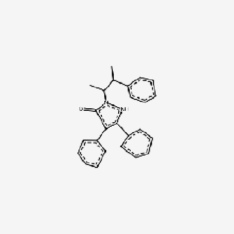 CC(c1ccccc1)C(C)n1[nH]c(-c2ccccc2)c(-c2ccccc2)c1=O